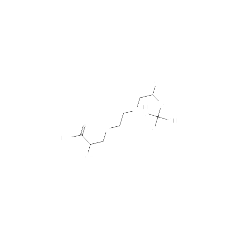 CC(COCCOCC(C)C(=O)O)OC(C)(C)C